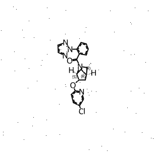 C[C@@H]1[C@H]2CC(Oc3ccc(Cl)cn3)[C@H](C2)N1C(=O)c1ccccc1-n1nccn1